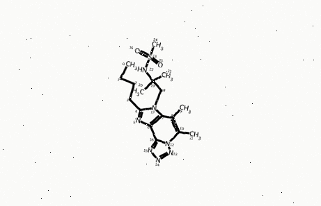 CCCCc1nc2c(c(C)c(C)n3nnnc23)n1CC(C)(C)NS(C)(=O)=O